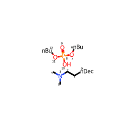 CCCCCCCCCCCCN(C)C.CCCCOP(=O)(O)OCCCC